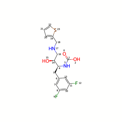 O=C(O)N[C@@H](Cc1cc(F)cc(F)c1)[C@@H](O)CNCc1cccs1